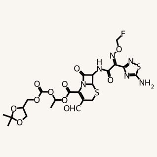 CC(OC(=O)OCC1COC(C)(C)O1)OC(=O)C1=C(C=O)CSC2C(NC(=O)C(=NOCF)c3nsc(N)n3)C(=O)N12